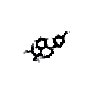 N/C(=C1\NCCN(c2ccc(Cl)cc2)c2ccccc21)C(F)F